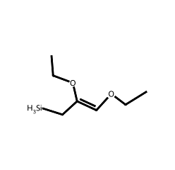 CCOC=C(C[SiH3])OCC